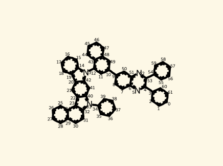 c1ccc(-c2nc3ccc(-c4cc(-n5c6ccccc6c6cc7c8c9ccccc9ccc8n(-c8ccccc8)c7cc65)c5ccccc5c4)cc3nc2-c2ccccc2)cc1